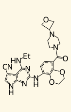 CCNc1nc(Nc2ccc(C(=O)N3CCN(C4COC4)CC3)c3c2OCCO3)nc2[nH]cc(C#N)c12